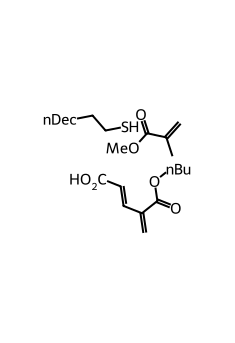 C=C(C)C(=O)OC.C=C(C=CC(=O)O)C(=O)OCCCC.CCCCCCCCCCCCS